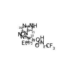 CC[C@@H]1C[C@@H](OC(=O)NCC(F)(F)F)C[C@@H]1c1nnc2cnc3[nH]ccc3n12